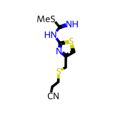 CSC(=N)Nc1nc(CSCCC#N)cs1